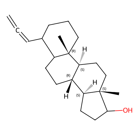 C=C=CC1CCC[C@@]2(C)C1CC[C@@H]1[C@@H]2CC[C@]2(C)C(O)CC[C@@H]12